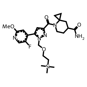 COc1cc(-c2cc(C(=O)N3CCC(C(N)=O)CC34CC4)nn2COCC[Si](C)(C)C)c(F)cn1